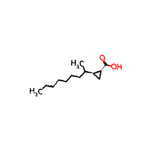 CCCCCCCC(C)[C@@H]1C[C@H]1C(=O)O